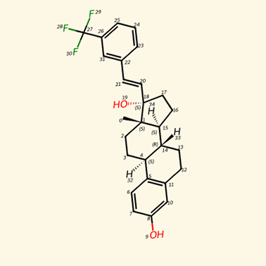 C[C@]12CC[C@@H]3c4ccc(O)cc4CC[C@H]3[C@@H]1CC[C@]2(O)C=Cc1cccc(C(F)(F)F)c1